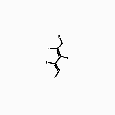 FC=C(F)C(F)=C(F)CF